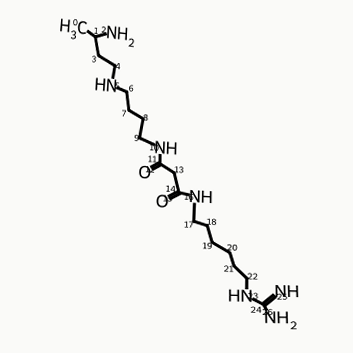 CC(N)CCNCCCCNC(=O)CC(=O)NCCCCCCNC(=N)N